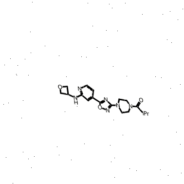 CC(C)C(=O)N1CCN(c2noc(-c3ccnc(NC4COC4)c3)n2)CC1